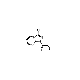 O=C(CO)c1nc(O)n2ccccc12